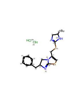 CCCCC1CN=C(SCC2=CSC3=NC(Cc4ccccc4)CN23)N1.Cl.Cl